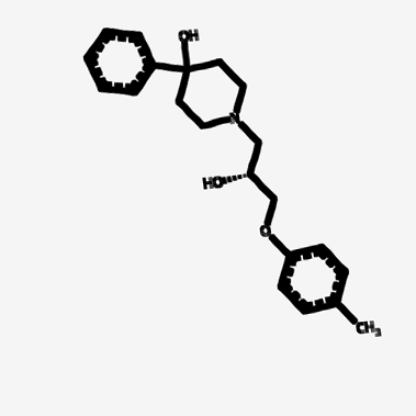 Cc1ccc(OC[C@H](O)CN2CCC(O)(c3ccccc3)CC2)cc1